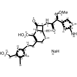 CON=C(C(=O)N[C@@H]1C(=O)N2C(C(=O)O)=C(CSc3nc(C)c(CC(=O)O)s3)CS[C@H]12)c1csc(N)n1.[NaH]